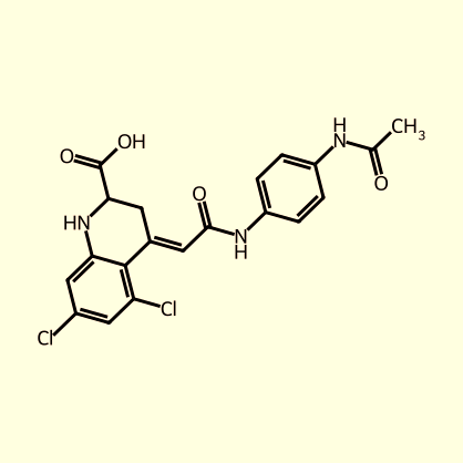 CC(=O)Nc1ccc(NC(=O)C=C2CC(C(=O)O)Nc3cc(Cl)cc(Cl)c32)cc1